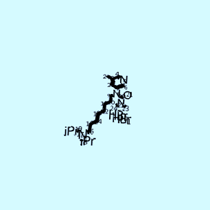 Br.Br.Cc1cncc(N(CCCCCCCCN(C(C)C)C(C)C)C(=O)N(C)C)c1